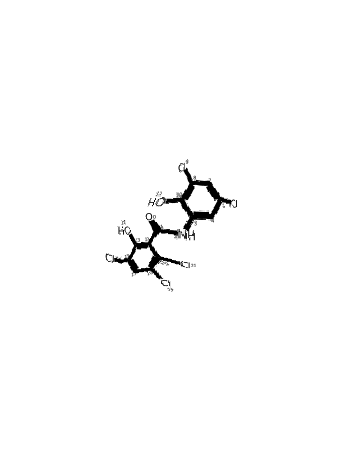 O=C(Nc1cc(Cl)cc(Cl)c1O)c1c(O)c(Cl)cc(Cl)c1Cl